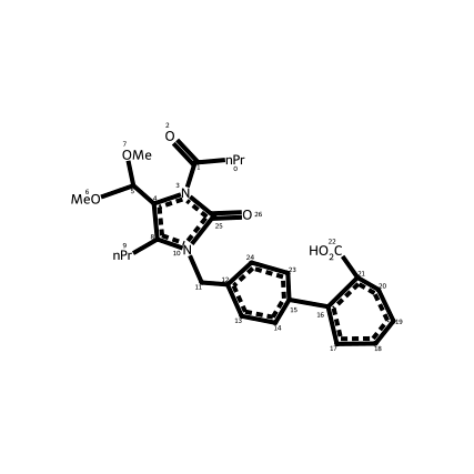 CCCC(=O)n1c(C(OC)OC)c(CCC)n(Cc2ccc(-c3ccccc3C(=O)O)cc2)c1=O